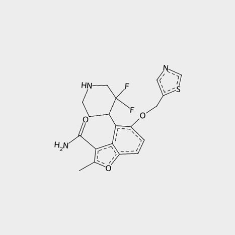 Cc1oc2ccc(OCc3cncs3)c(C3CCNCC3(F)F)c2c1C(N)=O